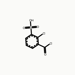 O=C(Cl)c1cccc(S(=O)(=O)O)c1Cl